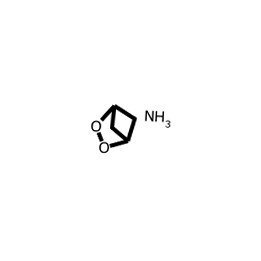 C1C2CC1OO2.N